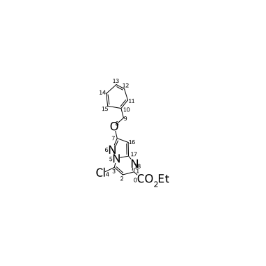 CCOC(=O)c1cc(Cl)n2nc(OCc3ccccc3)cc2n1